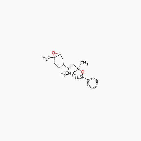 CC(C[Si](C)(C)O[SiH2]c1ccccc1)C1CCC2(C)OC2C1